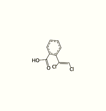 O=C(O)c1ccccc1/C(Cl)=C/Cl